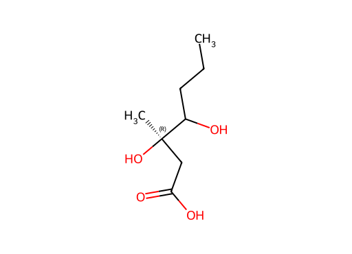 CCCC(O)[C@](C)(O)CC(=O)O